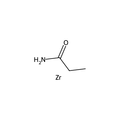 CCC(N)=O.[Zr]